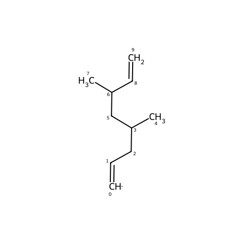 [CH]=CCC(C)CC(C)C=C